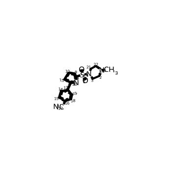 CN1CCN(S(=O)(=O)c2cccc(-c3ccc(C#N)cc3)n2)CC1